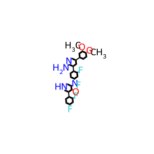 COc1ccc(-c2cnc(N)c(-c3ccc(N(F)c4c[nH]cc(-c5ccc(F)cc5F)c4=O)cc3F)c2)cc1OC